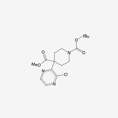 COC(=O)C1(c2nccnc2Cl)CCN(C(=O)OC(C)(C)C)CC1